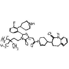 CC(C)(C)CCN1C(=O)[C@H](CC(=O)N2CCC(C3CCc4ccccc4NC3=O)CC2)SC1c1cccc(F)c1C1CCNCC1